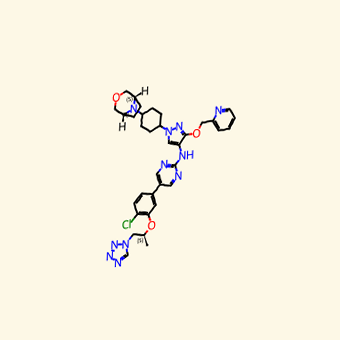 C[C@@H](Cn1cnnn1)Oc1cc(-c2cnc(Nc3cn(C4CCC(N5[C@@H]6CC[C@H]5COC6)CC4)nc3OCc3ccccn3)nc2)ccc1Cl